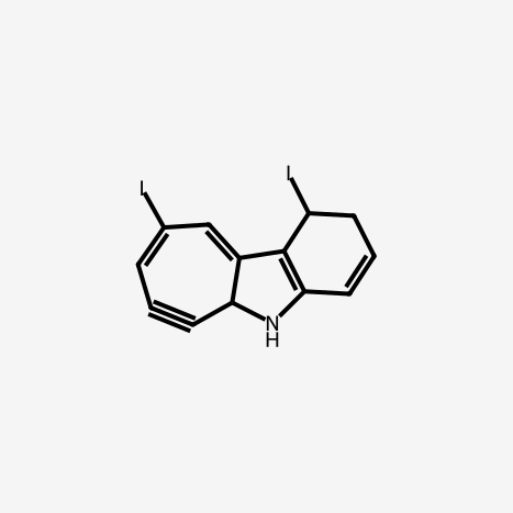 IC1=CC#CC2NC3=C(C2=C1)C(I)CC=C3